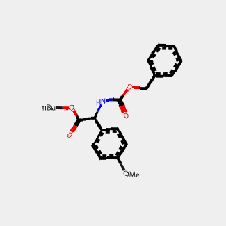 CCCCOC(=O)C(NC(=O)OCc1ccccc1)c1ccc(OC)cc1